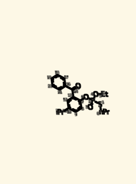 CCCSP(=O)(OCC)Oc1ccc(C(C)C)cc1C(=O)c1ccccc1